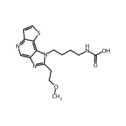 COCCc1nc2cnc3ccsc3c2n1CCCCNC(=O)O